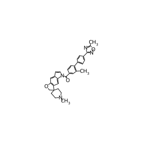 Cc1nc(-c2ccc(-c3ccc(C(=O)n4ccc5cc6c(cc54)C4(CCN(C)CC4)CO6)cc3C)cc2)no1